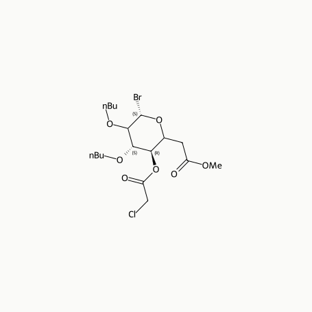 CCCCOC1[C@H](Br)OC(CC(=O)OC)[C@@H](OC(=O)CCl)[C@@H]1OCCCC